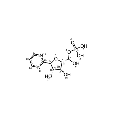 O=P(O)(O)OC(O)[C@H]1OC(c2ncccn2)[C@@H](O)[C@@H]1O